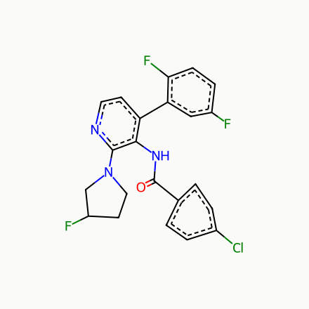 O=C(Nc1c(-c2cc(F)ccc2F)ccnc1N1CCC(F)C1)c1ccc(Cl)cc1